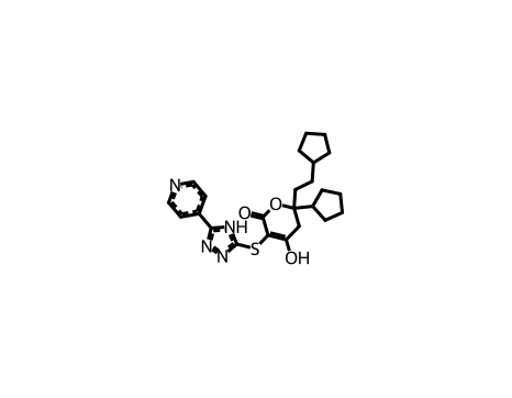 O=C1OC(CCC2CCCC2)(C2CCCC2)CC(O)=C1Sc1nnc(-c2ccncc2)[nH]1